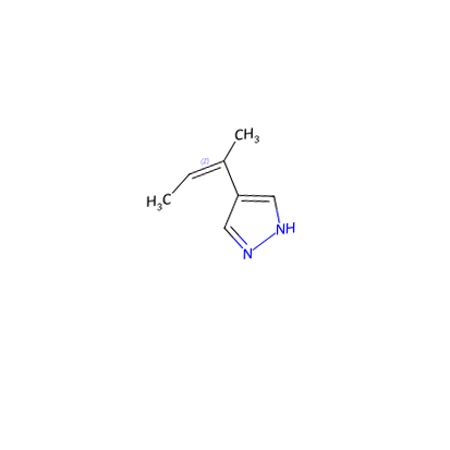 C/C=C(/C)c1cn[nH]c1